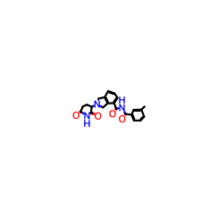 Cc1cccc(C(=O)NC(=O)c2cccc3c2CN(C2CCC(=O)NC2=O)C3)c1